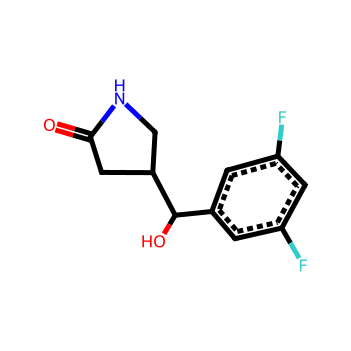 O=C1CC(C(O)c2cc(F)cc(F)c2)CN1